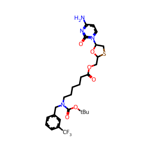 CC(C)(C)OC(=O)N(CCCCCC(=O)OCC1OC(n2ccc(N)nc2=O)CS1)Cc1cccc(C(F)(F)F)c1